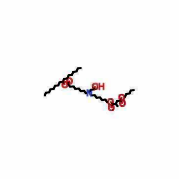 CCCCCCCCC(CCCCCCCC)OC(=O)CCCCCCCN(CCO)CCCCCCCOC(=O)C(C)CC(=O)OCCCCC